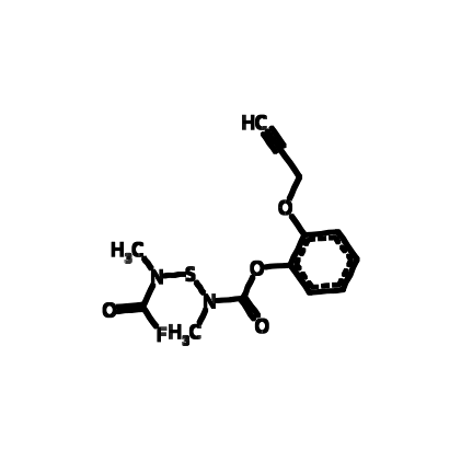 C#CCOc1ccccc1OC(=O)N(C)SN(C)C(=O)F